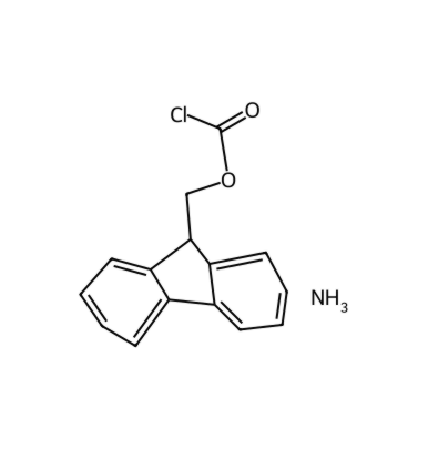 N.O=C(Cl)OCC1c2ccccc2-c2ccccc21